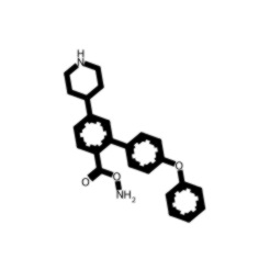 NOC(=O)c1ccc(C2CCNCC2)cc1-c1ccc(Oc2ccccc2)cc1